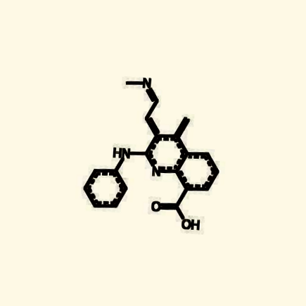 C=c1/c(=C\C=N/C)c(Nc2ccccc2)nc2c(C(=O)O)cccc12